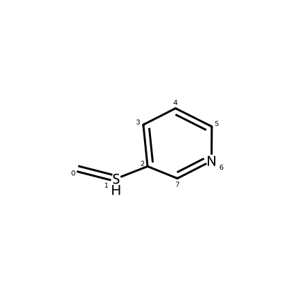 C=[SH]c1cccnc1